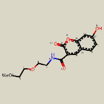 COCCOCCNC(=O)c1cc2ccc(O)cc2oc1=O